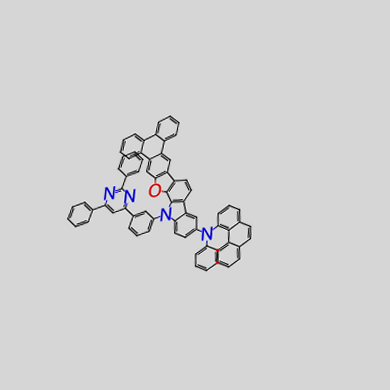 c1ccc(-c2cc(-c3cccc(-n4c5ccc(N(c6ccccc6)c6cccc7ccc8ccccc8c67)cc5c5ccc6c7cc8c9ccccc9c9ccccc9c8cc7oc6c54)c3)nc(-c3ccccc3)n2)cc1